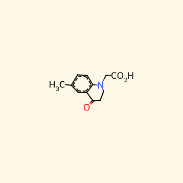 Cc1ccc2c(c1)C(=O)CCN2CC(=O)O